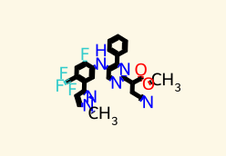 COC(=O)C(CC#N)c1ncc(Nc2cc(-c3ccn(C)n3)c(C(F)(F)F)cc2F)c(-c2ccccc2)n1